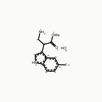 COC(=O)C(CN)c1c[nH]c2ccc(F)cc12.Cl